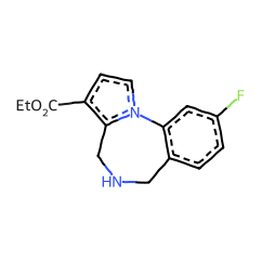 CCOC(=O)c1ccn2c1CNCc1ccc(F)cc1-2